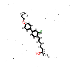 C=CCOc1ccc(-c2ccc(C=CCCCC(C)O)c(F)c2)cc1